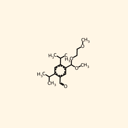 COCCOC(OC)c1cc(C=O)c(C(C)C)cc1C(C)C